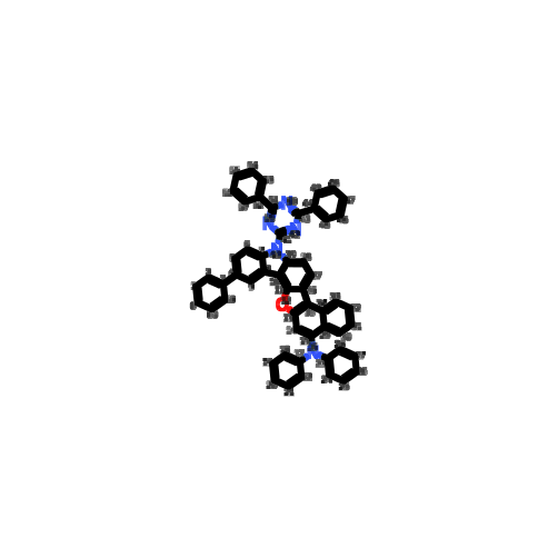 c1ccc(-c2ccc3c(c2)c2c4oc5cc(N(c6ccccc6)c6ccccc6)c6ccccc6c5c4ccc2n3-c2nc(-c3ccccc3)nc(-c3ccccc3)n2)cc1